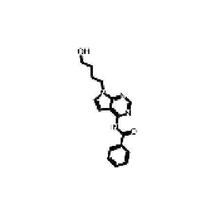 O=C(Nc1ncnc2c1ccn2CCCCO)c1ccccc1